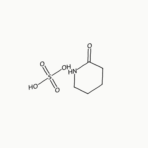 O=C1CCCCN1.O=S(=O)(O)O